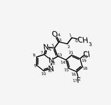 CCCC(=O)c1nc2cccnn2c1-c1cc(F)cc(Cl)c1